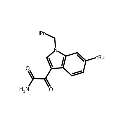 CC(C)Cn1cc(C(=O)C(N)=O)c2ccc(C(C)(C)C)cc21